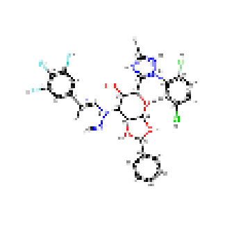 C=NN(/C=C(\C)c1cc(F)c(F)c(F)c1)C1C(O)C(c2nc(C)nn2-c2cc(Cl)ccc2Cl)OC2OC(c3ccccc3)OC21